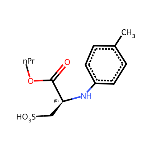 CCCOC(=O)[C@H](CS(=O)(=O)O)Nc1ccc(C)cc1